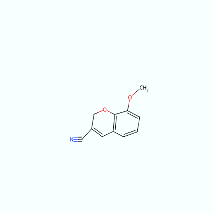 COc1cccc2c1OCC(C#N)=C2